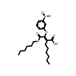 CCCCCCOC(=O)C(Oc1cccc([N+](=O)[O-])c1)=C(CCCCCC)C(=O)O